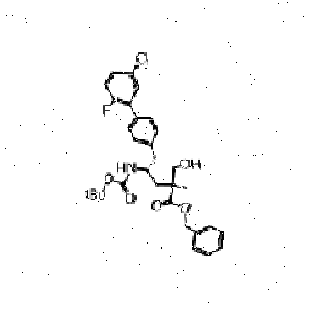 CC(C)(C)OC(=O)N[C@H](Cc1ccc(-c2cc(Cl)ccc2F)cc1)CC(C)(CO)C(=O)OCc1ccccc1